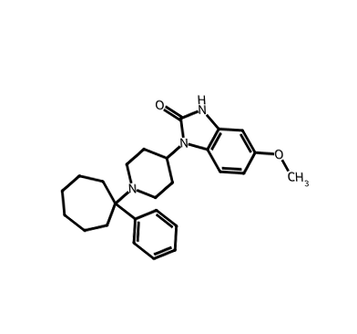 COc1ccc2c(c1)[nH]c(=O)n2C1CCN(C2(c3ccccc3)CCCCCC2)CC1